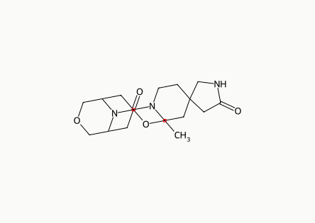 CCOC(=O)N1C2COCC1CC(N1CCC3(CC1)CNC(=O)C3)C2